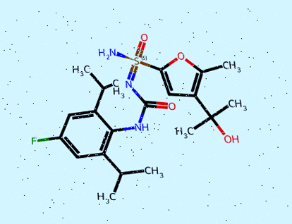 Cc1oc([S@@](N)(=O)=NC(=O)Nc2c(C(C)C)cc(F)cc2C(C)C)cc1C(C)(C)O